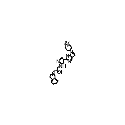 CC(=O)N1CCC(n2ccc3cnc(-c4ccnc(NCC(O)CN5CCc6ccccc6C5)c4)nc32)CC1